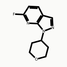 Fc1ccc2cnn(C3CCOCC3)c2n1